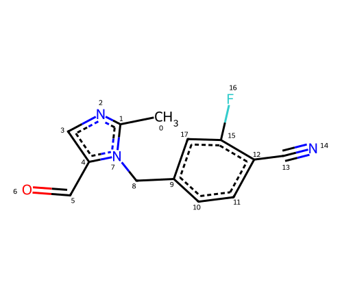 Cc1ncc(C=O)n1Cc1ccc(C#N)c(F)c1